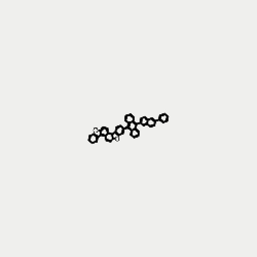 C1=Cc2oc3ccc4c(ccc5oc6cc(-c7c8ccccc8c(-c8ccc9cc(-c%10ccccc%10)ccc9c8)c8ccccc78)ccc6c54)c3c2CC1